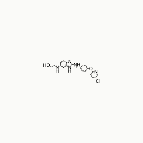 OCCNc1ccc2nc(NCc3ccc(Oc4ccc(Cl)cn4)cc3)[nH]c2c1